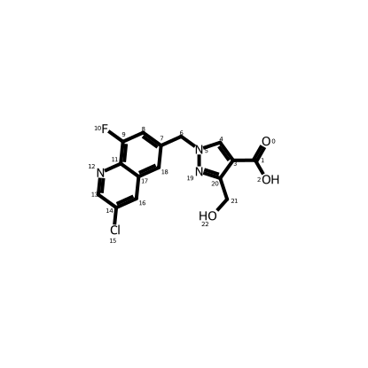 O=C(O)c1cn(Cc2cc(F)c3ncc(Cl)cc3c2)nc1CO